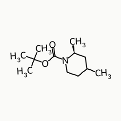 CC1CCN(C(=O)OC(C)(C)C)[C@@H](C)C1